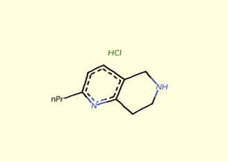 CCCc1ccc2c(n1)CCNC2.Cl